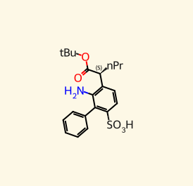 CCC[C@H](C(=O)OC(C)(C)C)c1ccc(S(=O)(=O)O)c(-c2ccccc2)c1N